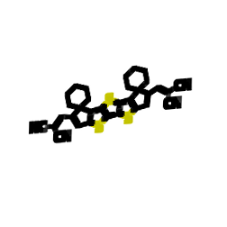 N#CC(C#N)=CC1=Cc2sc3c(sc4c5c(sc43)C=C(C=C(C#N)C#N)C53CCCCC3)c2C12CCCCC2